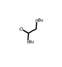 CCCCCC([O])C(C)(C)C